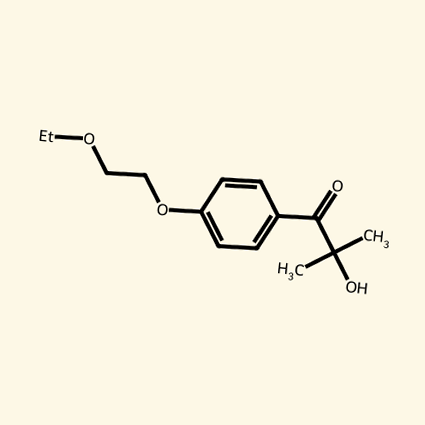 CCOCCOc1ccc(C(=O)C(C)(C)O)cc1